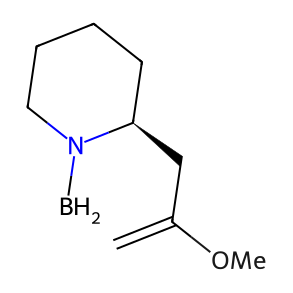 BN1CCCC[C@H]1CC(=C)OC